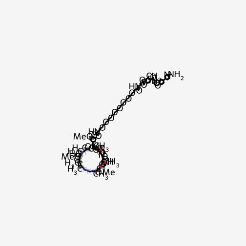 CO[C@H]1C[C@@H]2CC[C@@H](C)[C@@](O)(O2)C(=O)C(=O)N2CCCC[C@H]2C(=O)O[C@H]([C@H](C)C[C@@H]2CC[C@@H](OC(=O)NCCOCCOCCOCCOCCOCCOCCOCCOCCC(=O)NCCS(=O)(=O)c3ccc(C(=O)N4CCOc5ccc(-c6ccc(N)nc6)cc5C4)c(C)c3)[C@H](OC)C2)C[C@@H](OC)[C@H](C)/C=C(\C)[C@@H](O)[C@@H](OC)C(=O)[C@H](C)C[C@H](C)/C=C/C=C/C=C/1C